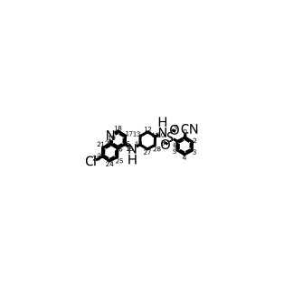 N#Cc1ccccc1S(=O)(=O)NC1CCC(Nc2ccnc3cc(Cl)ccc23)CC1